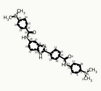 CN(C)c1ccc(NC(=O)c2ccc(-c3nc4cc(NC(=O)c5ccc(N(C)C)cc5)ccc4[nH]3)cc2)cc1